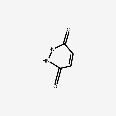 O=C1C=CC(=O)N[N]1